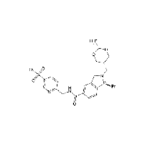 CCS(=O)(=O)c1ccc(CNC(=O)c2ccc3c(c2)CN(C[C@H]2CO[C@@H](C)OC2)[C@H]3C(C)C)nc1